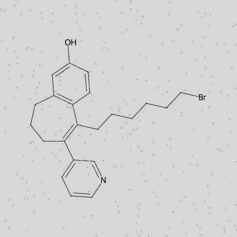 Oc1ccc2c(c1)CCCC(c1cccnc1)=C2CCCCCCBr